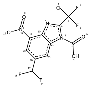 O=C(O)n1c(C(F)(F)Cl)nc2c([N+](=O)[O-])cc(C(F)F)cc21